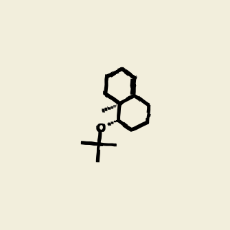 CC(C)(C)O[C@H]1CCCC2=CCCC[C@@]21C